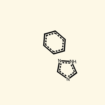 c1ccccc1.c1nc[nH]n1